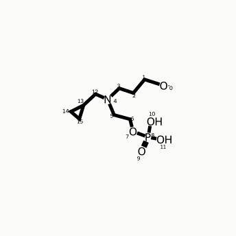 [O]CCCN(CCOP(=O)(O)O)CC1CC1